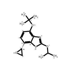 CC(C)Oc1nc2c(OC(C)(C)C)ccc([C@@H]3CO3)c2s1